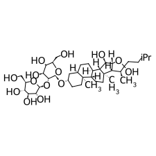 CC(C)CCC1(O)O[C@H]2[C@H](O)[C@H]3[C@@H]4CC[C@@H]5C[C@@H](O[C@@H]6O[C@H](CO)[C@H](O)[C@H](O)[C@H]6O[C@@H]6O[C@H](CO)[C@@H](O)[C@H](O)[C@H]6O)CC[C@]5(C)[C@H]4CC[C@]3(C)[C@H]2[C@@H]1C